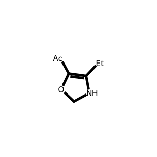 CCC1=C(C(C)=O)OCN1